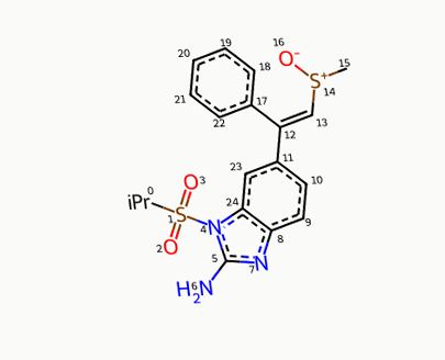 CC(C)S(=O)(=O)n1c(N)nc2ccc(/C(=C/[S+](C)[O-])c3ccccc3)cc21